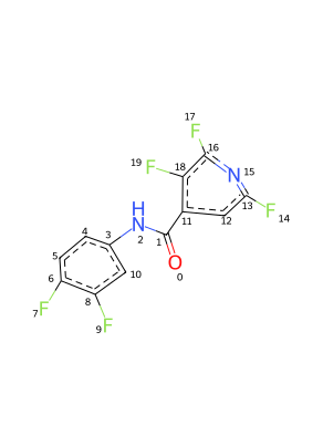 O=C(Nc1ccc(F)c(F)c1)c1cc(F)nc(F)c1F